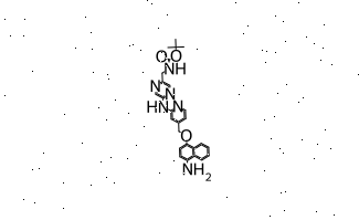 CC(C)(C)OC(=O)NCc1cnc(Nc2cc(COc3ccc(N)c4ccccc34)ccn2)cn1